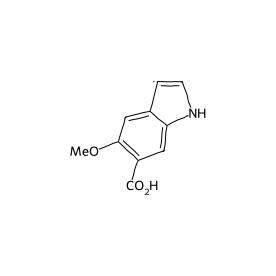 COc1cc2[c]c[nH]c2cc1C(=O)O